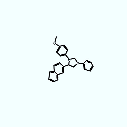 COc1ccc(N2CN(c3ccccc3)CC2c2ccc3ccccc3c2)cc1